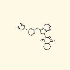 Cn1cc(-c2cccc(Cc3cc(C(=O)N[C@H]4CCCC[C@@H]4O)n4ncccc34)c2)cn1